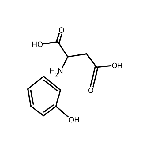 NC(CC(=O)O)C(=O)O.Oc1ccccc1